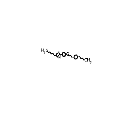 CCCCCCc1cnc(-c2ccc(OCCC[C@H]3CC[C@H](CCCCC)CC3)cc2)nc1